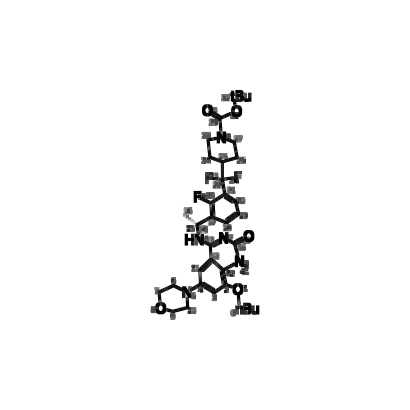 CCCCOc1cc(N2CCOCC2)cc2c(N[C@H](C)c3cccc(C(F)(F)C4CCN(C(=O)OC(C)(C)C)CC4)c3F)nc(=O)n(C)c12